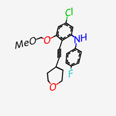 COCOc1cc(Cl)cc(Nc2ccc(F)cc2)c1C#CC1CCOCC1